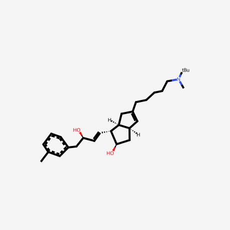 Cc1cccc(C[C@@H](O)/C=C/[C@@H]2[C@H]3CC(CCCCCN(C)C(C)(C)C)=C[C@H]3C[C@H]2O)c1